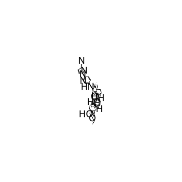 CCOC[C@@]1(O)CC[C@H]2[C@H](CC[C@@H]3[C@@H]2CC[C@]2(C)C([C@@H](C)Nc4ccc(-n5ccc(C#N)n5)nc4)CC[C@@H]32)C1